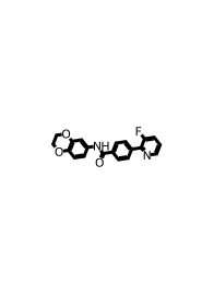 O=C(Nc1ccc2c(c1)OCCO2)c1ccc(-c2ncccc2F)cc1